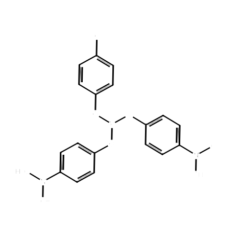 Cc1ccc(OP(Oc2ccc(N(C)C)cc2)Oc2ccc(N(C)C)cc2)cc1